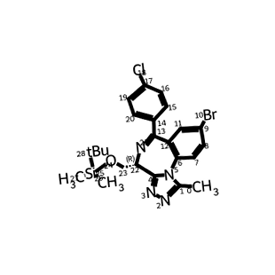 Cc1nnc2n1-c1ccc(Br)cc1C(c1ccc(Cl)cc1)=N[C@H]2CO[Si](C)(C)C(C)(C)C